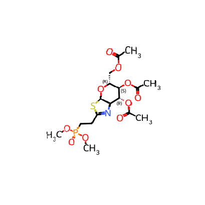 COP(=O)(CCC1=NC2C(O[C@H](COC(C)=O)[C@@H](OC(C)=O)[C@@H]2OC(C)=O)S1)OC